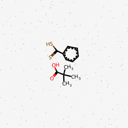 CC(C)(C)C(=O)O.S=C(S)c1ccccc1